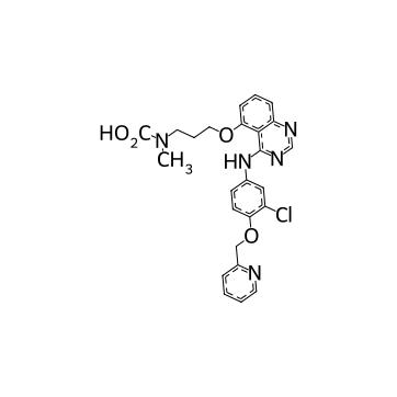 CN(CCCOc1cccc2ncnc(Nc3ccc(OCc4ccccn4)c(Cl)c3)c12)C(=O)O